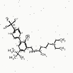 CCN(CC)CCCC(C)NCc1cc(C(C)(C)C)cc(-c2ccc(C(F)(F)F)nc2)c1O